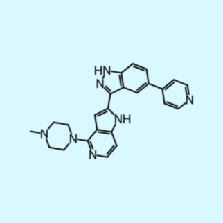 CN1CCN(c2nccc3[nH]c(-c4n[nH]c5ccc(-c6ccncc6)cc45)cc23)CC1